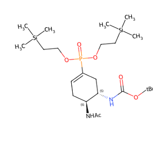 CC(=O)N[C@H]1CC=C(P(=O)(OCC[Si](C)(C)C)OCC[Si](C)(C)C)C[C@@H]1NC(=O)OC(C)(C)C